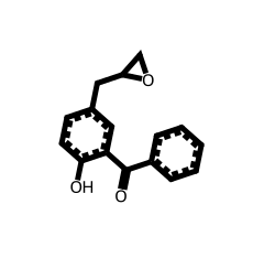 O=C(c1ccccc1)c1cc(CC2CO2)ccc1O